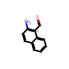 Nc1ccc2ccccc2c1[C]=O